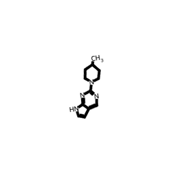 CC1CCN(c2ncc3cc[nH]c3n2)CC1